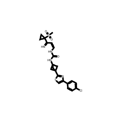 CS(=O)(=O)C1(C(=N)/C=C\NC(=O)NC23CC(c4nc(-c5ccc(Cl)cc5)cs4)(C2)C3)CC1